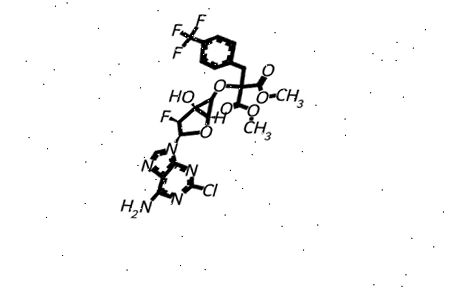 COC(=O)C(Cc1ccc(C(F)(F)F)cc1)(OC1[C@H]2O[C@@H](n3cnc4c(N)nc(Cl)nc43)[C@@H](F)[C@@]12O)C(=O)OC